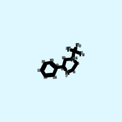 FC(F)(F)N1CC[N]C(c2ccccc2)C1